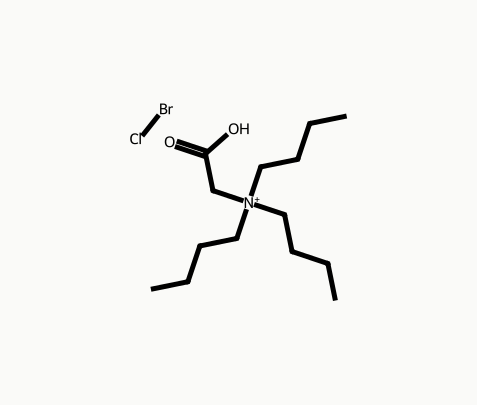 CCCC[N+](CCCC)(CCCC)CC(=O)O.ClBr